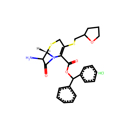 Cl.NC1C(=O)N2C(C(=O)OC(c3ccccc3)c3ccccc3)=C(SCC3CCCO3)CS[C@@H]12